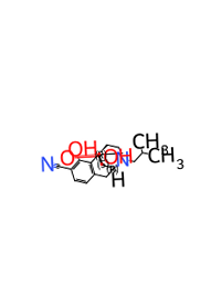 CC(C)CN1CC[C@]23CC(=O)CC[C@@]2(O)[C@H]1Cc1ccc(C#N)c(O)c13